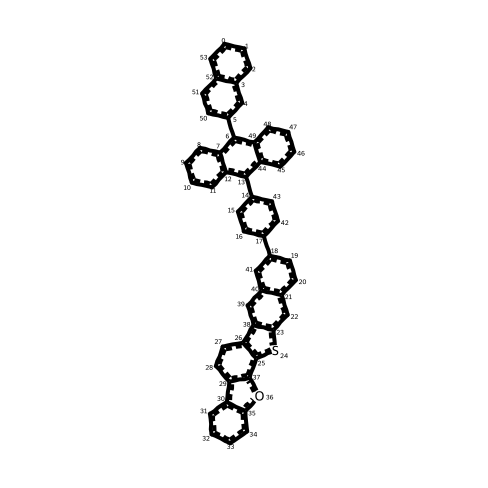 c1ccc2cc(-c3c4ccccc4c(-c4ccc(-c5ccc6cc7sc8c(ccc9c%10ccccc%10oc98)c7cc6c5)cc4)c4ccccc34)ccc2c1